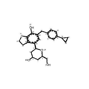 OCC1CC(O)CC(c2cc(Cc3ccc(C4CC4)cc3)c(O)c3c2CCO3)O1